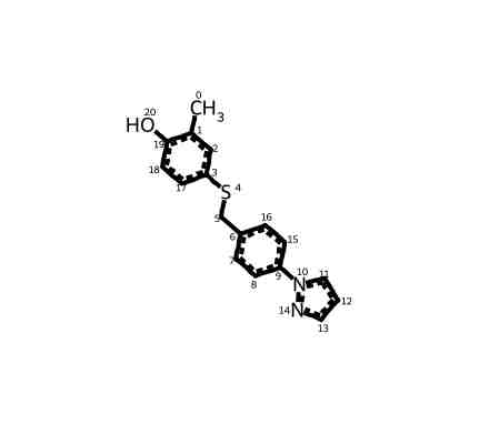 Cc1cc(SCc2ccc(-n3cccn3)cc2)ccc1O